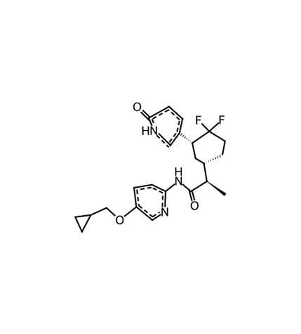 C[C@@H](C(=O)Nc1ccc(OCC2CC2)cn1)[C@H]1CCC(F)(F)[C@@H](c2ccc(=O)[nH]c2)C1